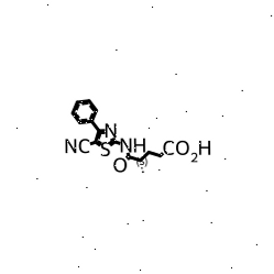 C[C@@H](CCC(=O)O)C(=O)Nc1nc(-c2ccccc2)c(C#N)s1